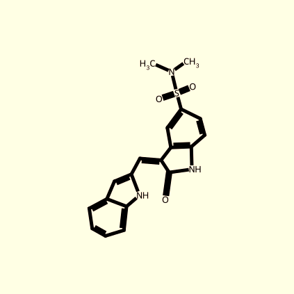 CN(C)S(=O)(=O)c1ccc2c(c1)C(=Cc1cc3ccccc3[nH]1)C(=O)N2